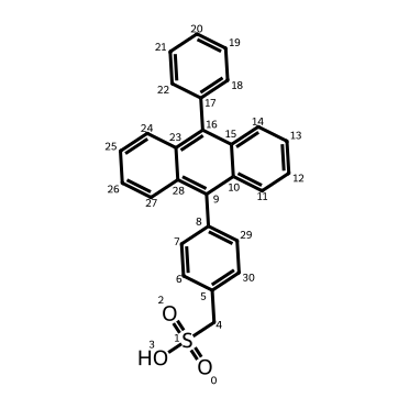 O=S(=O)(O)Cc1ccc(-c2c3ccccc3c(-c3ccccc3)c3ccccc23)cc1